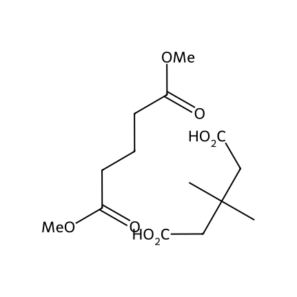 CC(C)(CC(=O)O)CC(=O)O.COC(=O)CCCC(=O)OC